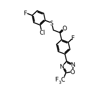 O=C(CSc1ccc(F)cc1Cl)c1ccc(-c2noc(C(F)(F)F)n2)cc1F